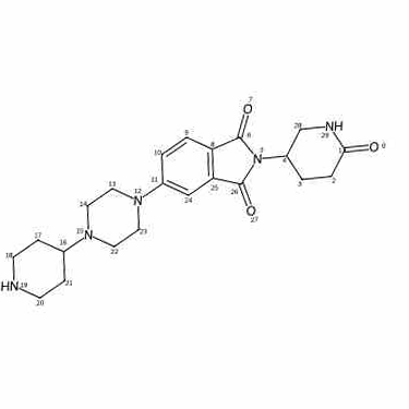 O=C1CCC(N2C(=O)c3ccc(N4CCN(C5CCNCC5)CC4)cc3C2=O)CN1